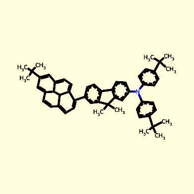 CC(C)(C)C1=CC2=CC=C3C(c4ccc5c(c4)C(C)(C)c4cc(N(c6ccc(C(C)(C)C)cc6)c6ccc(C(C)(C)C)cc6)ccc4-5)=CC=C4C=CC(=C1)C2C43